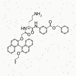 C=CCOc1ccc2ccccc2c1-c1c(OCC(=O)N[C@H](CCCN)C(=O)Nc2cccc(C(=O)OCc3ccccc3)c2)ccc2ccccc12